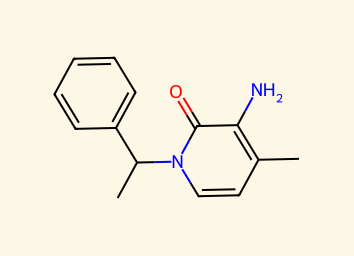 Cc1ccn(C(C)c2ccccc2)c(=O)c1N